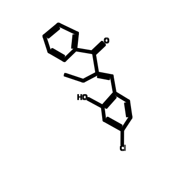 CCC(=Cc1ccc(Cl)cc1O)C(=O)c1ccccc1